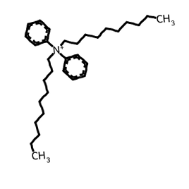 CCCCCCCCCC[N+](CCCCCCCCCC)(c1ccccc1)c1ccccc1